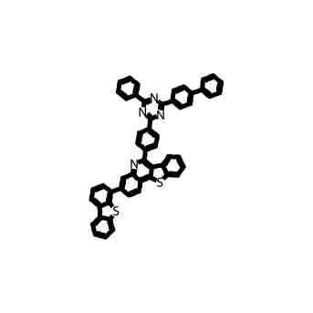 c1ccc(-c2ccc(-c3nc(-c4ccccc4)nc(-c4ccc(-c5nc6cc(-c7cccc8c7sc7ccccc78)ccc6c6sc7ccccc7c56)cc4)n3)cc2)cc1